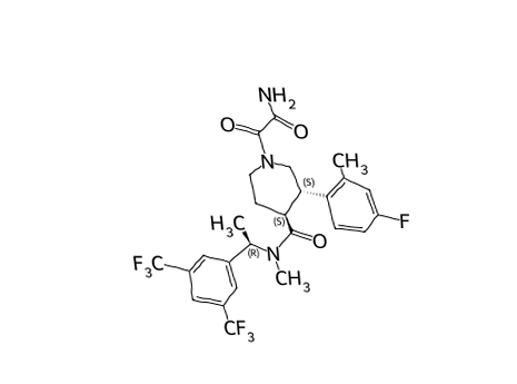 Cc1cc(F)ccc1[C@H]1CN(C(=O)C(N)=O)CC[C@@H]1C(=O)N(C)[C@H](C)c1cc(C(F)(F)F)cc(C(F)(F)F)c1